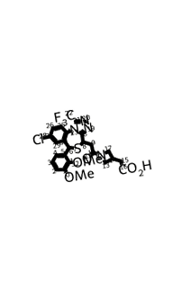 COc1cccc(C2SC(CC(=O)N3CC(CC(=O)O)C3)c3nnc(C(F)(F)F)n3-c3ccc(Cl)cc32)c1OC